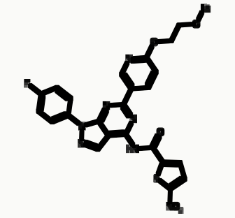 CCOCCOc1ccc(-c2nc(NC(=O)c3ccc([N+](=O)[O-])s3)c3cnn(-c4ccc(F)cc4)c3n2)cn1